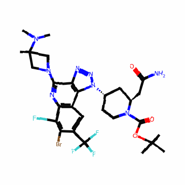 CN(C)C1(C)CN(c2nc3c(F)c(Br)c(C(F)(F)F)cc3c3c2nnn3[C@H]2CCN(C(=O)OC(C)(C)C)[C@H](CC(N)=O)C2)C1